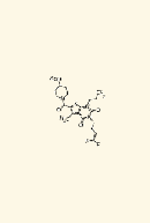 CC(=O)OC1CCN(C(=O)c2sc3c(c2C)c(=O)n(CCC=C(F)F)c(=O)n3CCC(F)(F)F)CC1